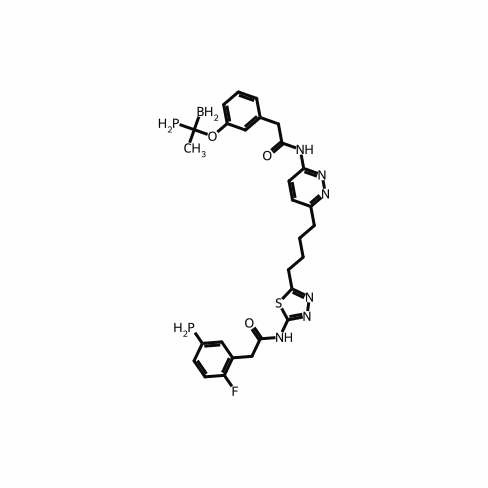 BC(C)(P)Oc1cccc(CC(=O)Nc2ccc(CCCCc3nnc(NC(=O)Cc4cc(P)ccc4F)s3)nn2)c1